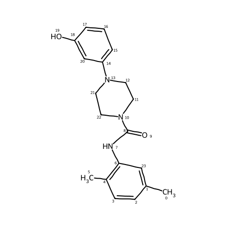 Cc1ccc(C)c(NC(=O)N2CCN(c3cccc(O)c3)CC2)c1